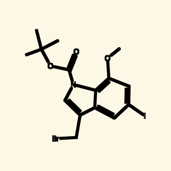 COc1cc(I)cc2c(CBr)cn(C(=O)OC(C)(C)C)c12